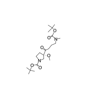 CO[C@@]1(C(=O)CCCN(C)C(=O)OC(C)(C)C)CCN(C(=O)OC(C)(C)C)C1